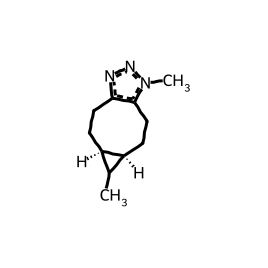 CC1[C@H]2CCc3nnn(C)c3CC[C@@H]12